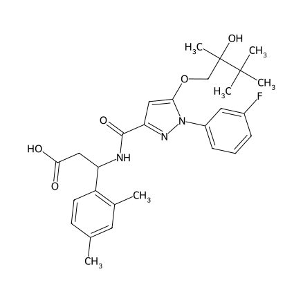 Cc1ccc(C(CC(=O)O)NC(=O)c2cc(OCC(C)(O)C(C)(C)C)n(-c3cccc(F)c3)n2)c(C)c1